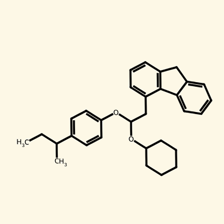 CCC(C)c1ccc(OC(Cc2cccc3c2-c2ccccc2C3)OC2CCCCC2)cc1